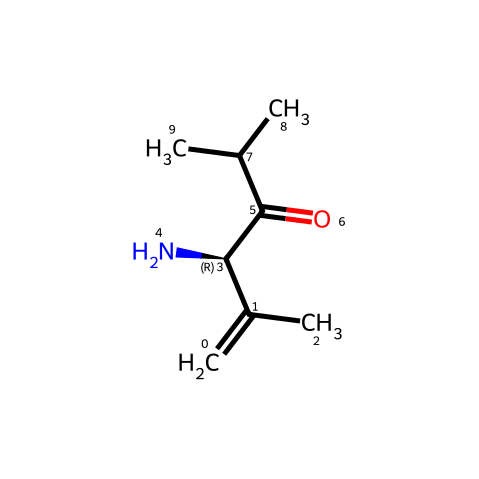 C=C(C)[C@@H](N)C(=O)C(C)C